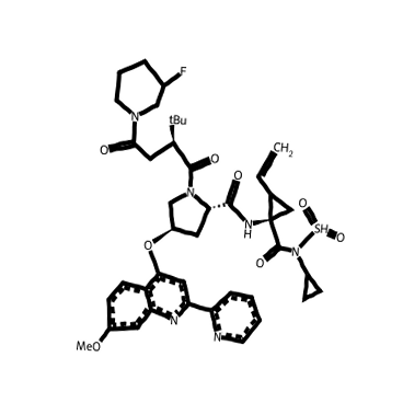 C=CC1C[C@]1(NC(=O)[C@@H]1C[C@@H](Oc2cc(-c3ccccn3)nc3cc(OC)ccc23)CN1C(=O)[C@@H](CC(=O)N1CCCC(F)C1)C(C)(C)C)C(=O)N(C1CC1)[SH](=O)=O